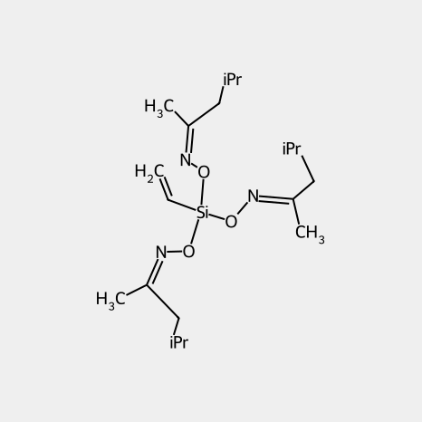 C=C[Si](ON=C(C)CC(C)C)(ON=C(C)CC(C)C)ON=C(C)CC(C)C